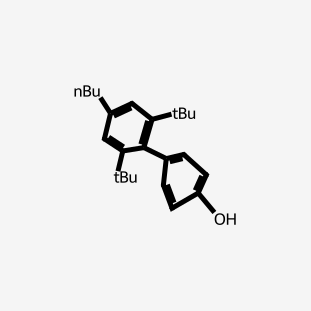 CCCCc1cc(C(C)(C)C)c(-c2ccc(O)cc2)c(C(C)(C)C)c1